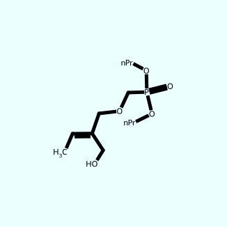 CC=C(CO)COCP(=O)(OCCC)OCCC